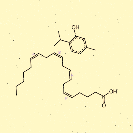 CCCCC/C=C\C/C=C\C/C=C\C/C=C\CCCC(=O)O.Cc1ccc(C(C)C)c(O)c1